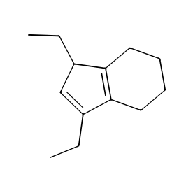 CCC1=CC(CC)C2=C1CCCC2